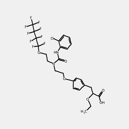 CCOC(Cc1ccc(OCCN(CCOC(F)(F)C(F)(F)C(F)(F)C(F)(F)F)C(=O)Nc2ccccc2Cl)cc1)C(=O)O